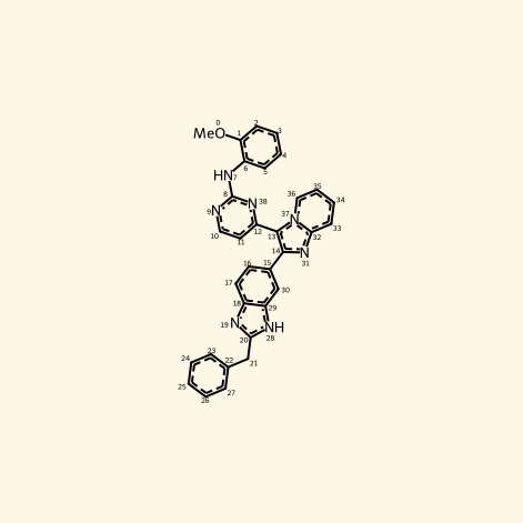 COc1ccccc1Nc1nccc(-c2c(-c3ccc4nc(Cc5ccccc5)[nH]c4c3)nc3ccccn23)n1